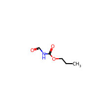 CCCOC(=O)NC=O